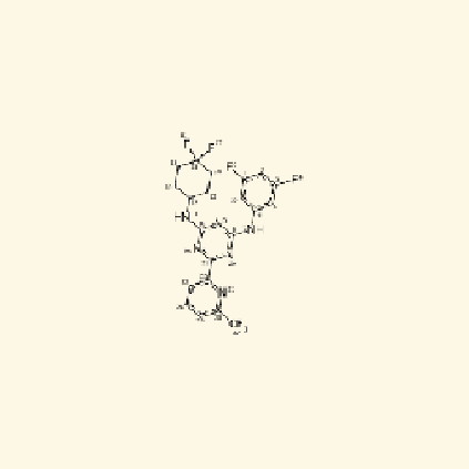 Fc1cc(F)cc(Nc2nc(NC3CCC(F)(F)CC3)nc(-c3cccc(C(F)(F)F)n3)n2)c1